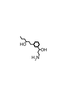 CCCC(O)CCc1cccc(C(O)CCN)c1